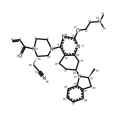 C=CC(=O)N1CCN(c2nc(OCCN(C)C)nc3c2CC[C@H](N2c4ccccc4C[C@@H]2C)C3)C[C@@H]1CC#N